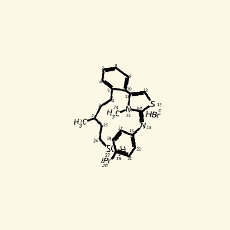 Br.CC(CCc1ccccc1-c1csc(=Nc2ccc(C(C)C)cc2)n1C)CCS(=O)(=O)O